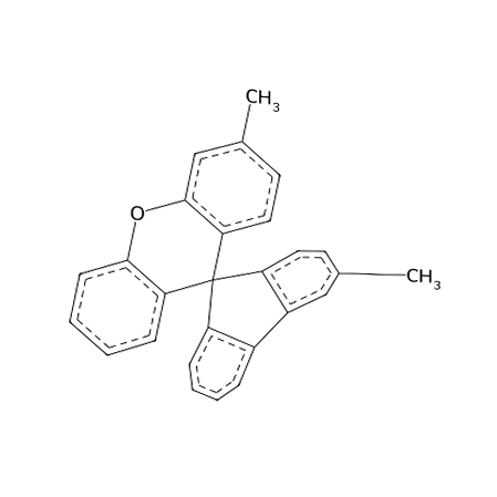 Cc1ccc2c(c1)Oc1ccccc1C21c2ccccc2-c2cc(C)ccc21